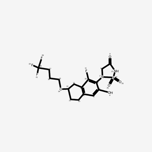 O=C1CN(c2c(O)cc3c(c2F)CC(OCCCC(F)(F)F)CC3)S(=O)(=O)N1